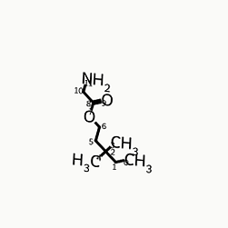 CCC(C)(C)CCOC(=O)CN